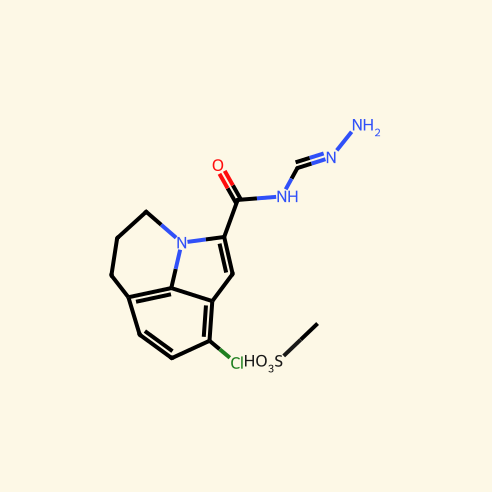 CS(=O)(=O)O.NN=CNC(=O)c1cc2c(Cl)ccc3c2n1CCC3